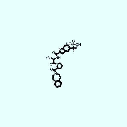 CC(C)(C)C(NC(=O)c1cc2cc(C(F)(F)P(=O)(O)O)ccc2s1)C(=O)N1CCCC1C(=O)N1CCc2ccccc2CC1